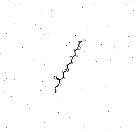 CCOC(=O)CCOCCOCCOSI